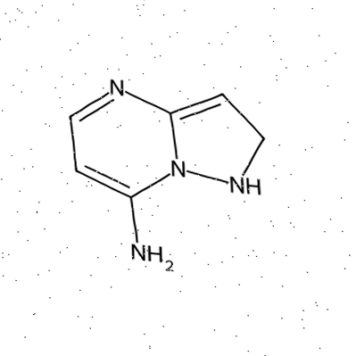 NC1=CC=NC2=CCNN12